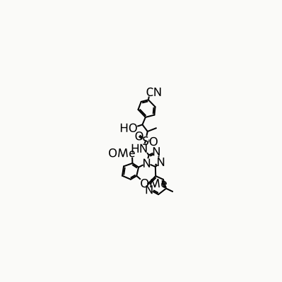 COc1cccc(OC)c1-n1c(NS(=O)(=O)C(C)C(O)c2ccc(C#N)cc2)nnc1-c1cncc(C)c1